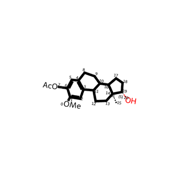 COc1cc2c(cc1OC(C)=O)CCC1C2CC[C@@]2(C)C1CC[C@@H]2O